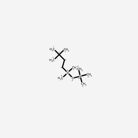 CC(C)(C)CC[Si](C)(C)O[Si](C)(C)C